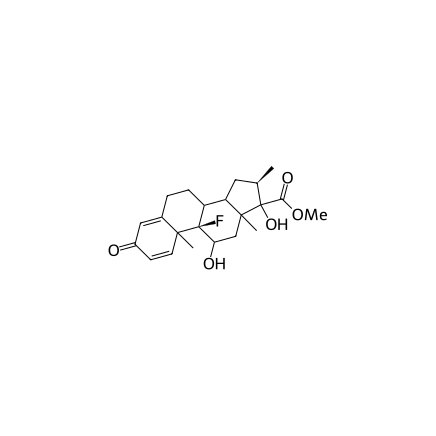 COC(=O)C1(O)[C@H](C)CC2C3CCC4=CC(=O)C=CC4(C)[C@@]3(F)C(O)CC21C